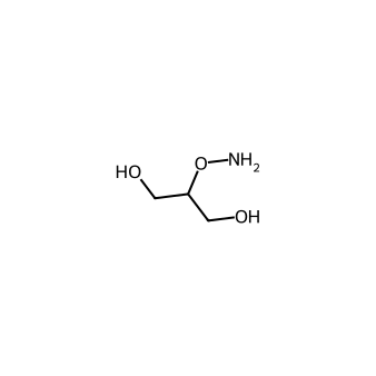 NOC(CO)CO